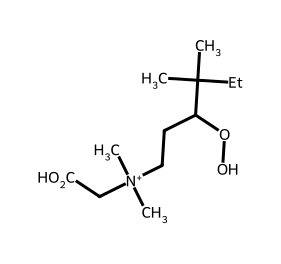 CCC(C)(C)C(CC[N+](C)(C)CC(=O)O)OO